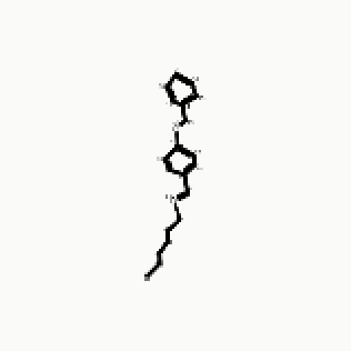 CCCCCC/N=C/c1ccc(OCc2ccccc2)cc1